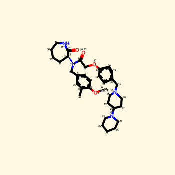 CCCOc1ccc(CN(C(=O)COc2ccc(CN3CCC(N4CCCCC4)CC3)cc2)[C@H]2CCCCNC2=O)cc1C